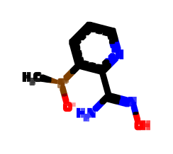 C[S@+]([O-])c1cccnc1C(N)=NO